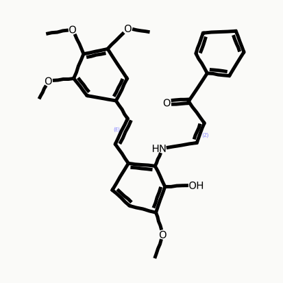 COc1ccc(/C=C/c2cc(OC)c(OC)c(OC)c2)c(N/C=C\C(=O)c2ccccc2)c1O